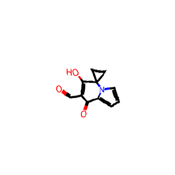 O=CC1=C(O)C2(CC2)n2cccc2C1=O